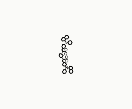 O=c1oc2cc(N(c3ccccc3)c3cccc4ccccc34)ccc2cc1-c1cccc(-c2cc3ccc(N(c4ccccc4)c4cccc5ccccc45)cc3oc2=O)c1